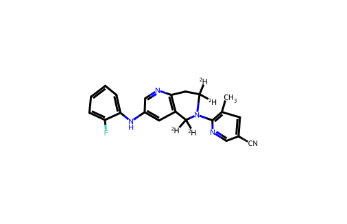 [2H]C1([2H])Cc2ncc(Nc3ccccc3F)cc2C([2H])([2H])N1c1ncc(C#N)cc1C